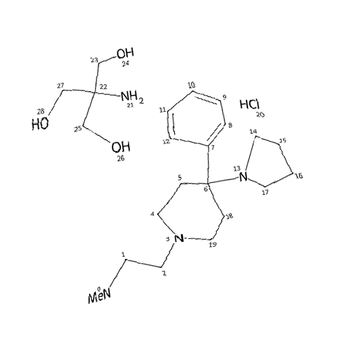 CNCCN1CCC(c2ccccc2)(N2CCCC2)CC1.Cl.NC(CO)(CO)CO